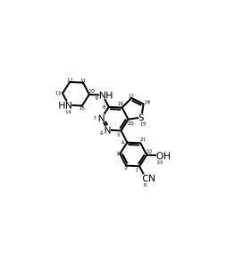 N#Cc1ccc(-c2nnc(NC3CCCNC3)c3ccsc23)cc1O